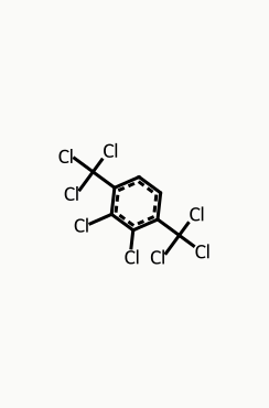 Clc1c(C(Cl)(Cl)Cl)ccc(C(Cl)(Cl)Cl)c1Cl